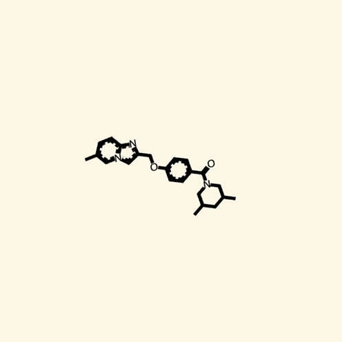 Cc1ccc2nc(COc3ccc(C(=O)N4CC(C)CC(C)C4)cc3)cn2c1